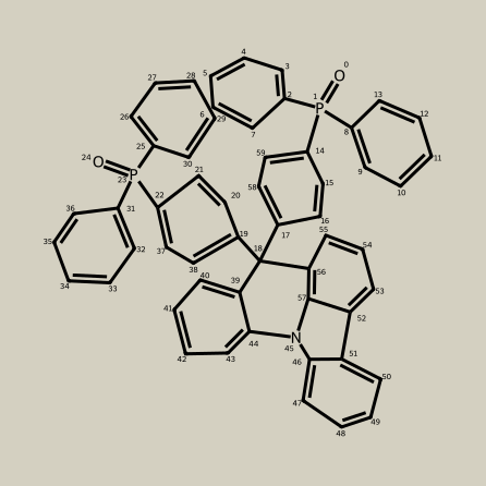 O=P(c1ccccc1)(c1ccccc1)c1ccc(C2(c3ccc(P(=O)(c4ccccc4)c4ccccc4)cc3)c3ccccc3-n3c4ccccc4c4cccc2c43)cc1